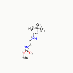 CC(C)(C)OC(=O)NCCNCCC(C)(C)C(F)(F)F